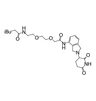 CCC(C)CC(=O)NCCOCCOCC(=O)Nc1cccc2c1CN(C1CCC(=O)NC1=O)C2